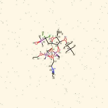 B[C@@H]1O[C@](CCP(C)(=O)OCC)(CC(F)(F)P(C)(C)=O)[C@H](OP(=C)(OC)OCC[N+]#[C-])C1O[Si](C)(C)C(C)(C)C